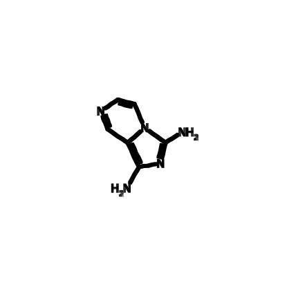 Nc1nc(N)n2ccncc12